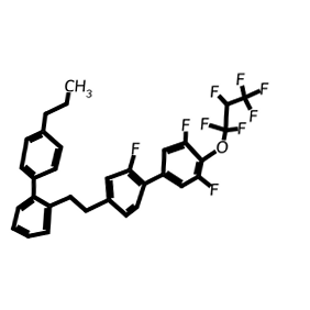 CCCc1ccc(-c2ccccc2CCc2ccc(-c3cc(F)c(OC(F)(F)C(F)C(F)(F)F)c(F)c3)c(F)c2)cc1